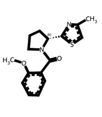 COc1ccccc1C(=O)N1CCC[C@@H]1c1nc(C)cs1